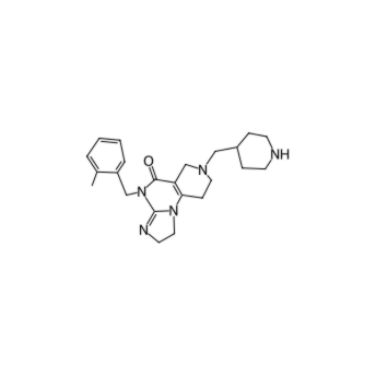 Cc1ccccc1CN1C(=O)C2=C(CCN(CC3CCNCC3)C2)N2CCN=C12